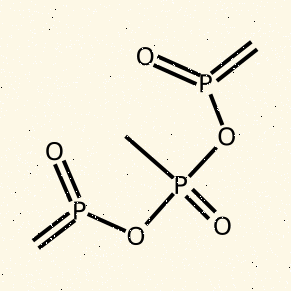 C=P(=O)OP(C)(=O)OP(=C)=O